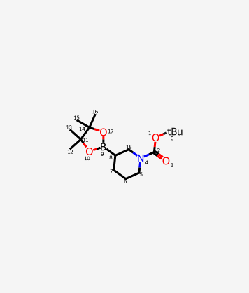 CC(C)(C)OC(=O)N1CCCC(B2OC(C)(C)C(C)(C)O2)C1